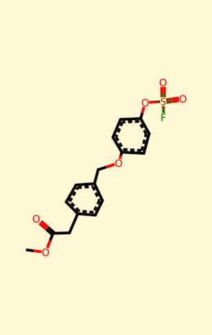 COC(=O)Cc1ccc(COc2ccc(OS(=O)(=O)F)cc2)cc1